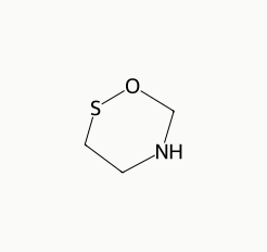 C1CSOCN1